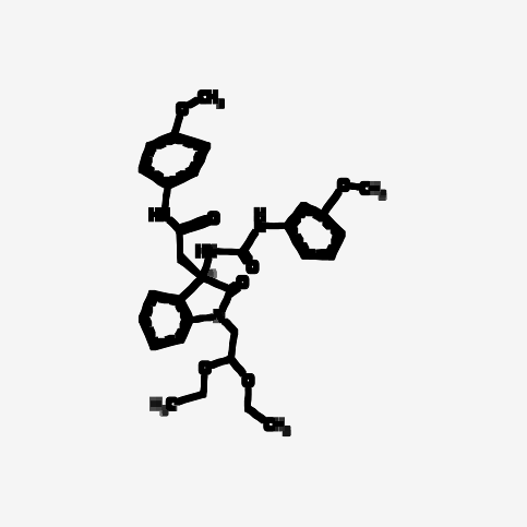 CCOC(CN1C(=O)[C@@](CC(=O)Nc2ccc(OC)cc2)(NC(=O)Nc2cccc(OC)c2)c2ccccc21)OCC